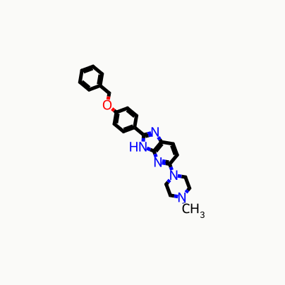 CN1CCN(c2ccc3nc(-c4ccc(OCc5ccccc5)cc4)[nH]c3n2)CC1